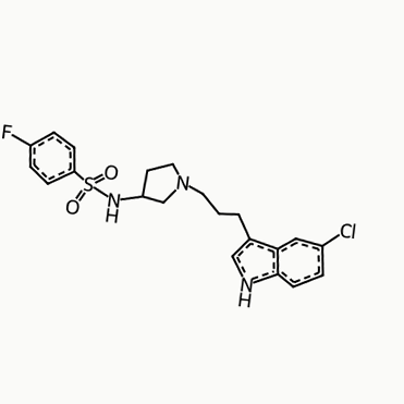 O=S(=O)(NC1CCN(CCCc2c[nH]c3ccc(Cl)cc23)C1)c1ccc(F)cc1